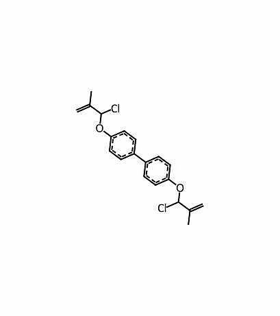 C=C(C)C(Cl)Oc1ccc(-c2ccc(OC(Cl)C(=C)C)cc2)cc1